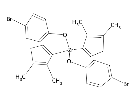 CC1=C(C)[C]([Zr]([O]c2ccc(Br)cc2)([O]c2ccc(Br)cc2)[C]2=CCC(C)=C2C)=CC1